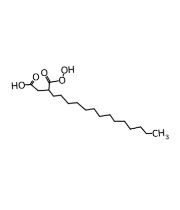 CCCCCCCCCCCCCCC(CC(=O)O)C(=O)OO